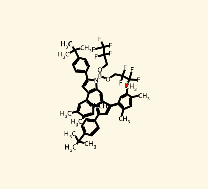 Cc1cc(C)c(C2=CC(c3ccc(C(C)(C)C)cc3)=N/C2=C\c2c(-c3cc(C)c(C)cc3C)cc(-c3ccc(C(C)(C)C)cc3)n2B(OCC(F)(F)C(F)(F)F)OCC(F)(F)C(F)(F)F)cc1C